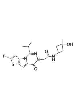 CC(C)c1nn(CC(=O)NC2CC(C)(O)C2)c(=O)c2cc3sc(F)cc3n12